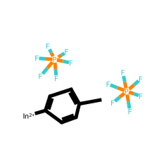 Cc1cc[c]([In+2])cc1.F[P-](F)(F)(F)(F)F.F[P-](F)(F)(F)(F)F